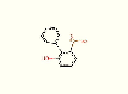 O=[SH](=O)c1cccc(O)c1-c1ccccc1